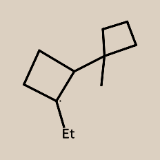 CC[C]1CCC1C1(C)CCC1